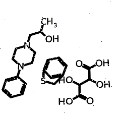 CC(O)CN1CCN(c2ccccc2)CC1.O=C(O)C(O)C(O)C(=O)O.c1cc2cc(c1)SC2